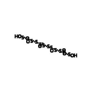 O=C(CSCCSCC[S+]([O-])CSCCSCSC(=O)CSCCSCC(=O)OCCSCO)OCCSCO